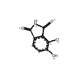 O=C1NC(=O)c2c1ccc(O)c2Cl